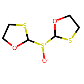 [O-][S+](C1OCCS1)C1OCCS1